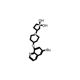 CCCCc1cc(OC2CCN(C3CCS(O)(O)C3)CC2)c2ncccc2c1